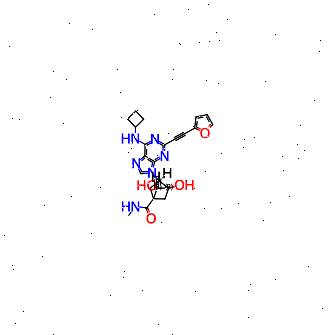 CNC(=O)C12C[C@@H](n3cnc4c(NC5CCC5)nc(C#Cc5ccco5)nc43)[C@](O)(C1)[C@@H]2O